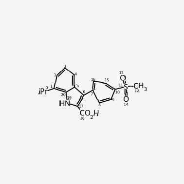 CC(C)c1cccc2c(-c3ccc(S(C)(=O)=O)cc3)c(C(=O)O)[nH]c12